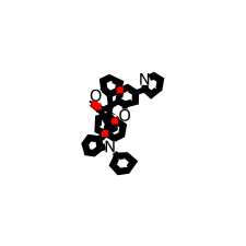 c1ccc(-n2c3ccccc3c3c(-c4cccc5c4C4(c6ccccc6Oc6cc(-c7ccccn7)ccc64)c4ccccc4O5)cccc32)cc1